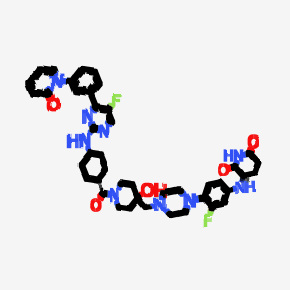 O=C1CC[C@@H](Nc2ccc(N3CCN(CC4(O)CCN(C(=O)[C@H]5CC[C@H](Nc6ncc(F)c(-c7cccc(-n8ccccc8=O)c7)n6)CC5)CC4)CC3)c(F)c2)C(=O)N1